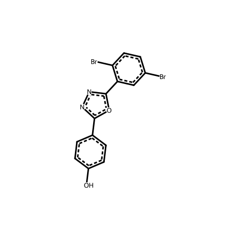 Oc1ccc(-c2nnc(-c3cc(Br)ccc3Br)o2)cc1